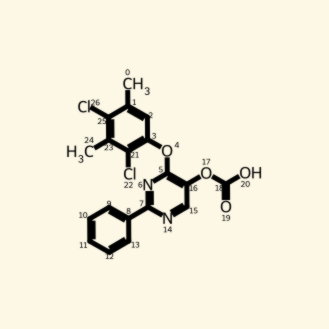 Cc1cc(Oc2nc(-c3ccccc3)ncc2OC(=O)O)c(Cl)c(C)c1Cl